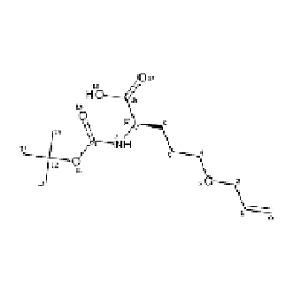 C=CCOCCC[C@@H](NC(=O)OC(C)(C)C)C(=O)O